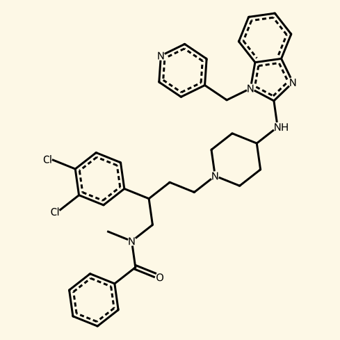 CN(CC(CCN1CCC(Nc2nc3ccccc3n2Cc2ccncc2)CC1)c1ccc(Cl)c(Cl)c1)C(=O)c1ccccc1